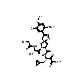 CCOc1cc(OC)c(C2=NO[C@]3(C2)C[C@@H](C(=O)N[C@@H](CC2CC2)C(=O)C(=O)NC)N(C(=O)[C@@H](NC(=O)OC(C)(C)C)C(C)(C)C)C3)cc1Cl